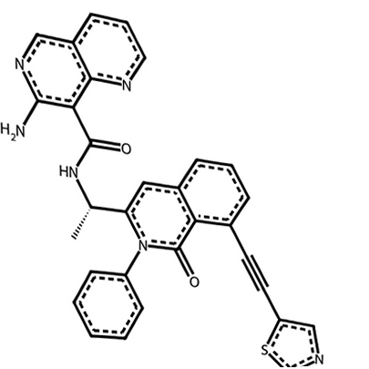 C[C@H](NC(=O)c1c(N)ncc2cccnc12)c1cc2cccc(C#Cc3cncs3)c2c(=O)n1-c1ccccc1